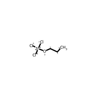 CCC[O][Zr]([Cl])([Cl])[Cl]